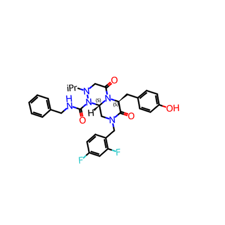 CC(C)N1CC(=O)N2[C@@H](Cc3ccc(O)cc3)C(=O)N(Cc3ccc(F)cc3F)C[C@@H]2N1C(=O)NCc1ccccc1